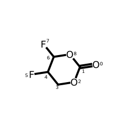 O=C1OCC(F)C(F)O1